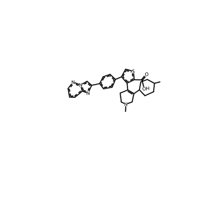 CC1CCC(C2=C(c3c(-c4ccc(-c5cn6ncccc6n5)cc4)csc3C(=O)O)CCN(C)C2)CC1